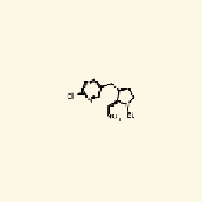 CCN1CCC(Cc2ccc(Cl)nc2)C1=C[N+](=O)[O-]